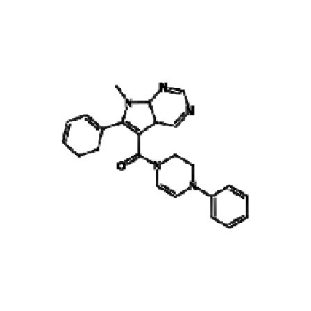 CN1C(C2=CC=CCC2)=C(C(=O)N2C=CN(c3ccccc3)CC2)C2C=NC=NC21